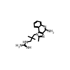 Cc1nc2c(N)nc3ccccc3c2n1CC(C)(C)CNC(=N)N